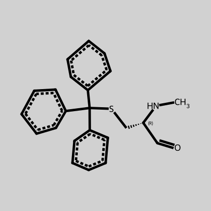 CN[C@H](C=O)CSC(c1ccccc1)(c1ccccc1)c1ccccc1